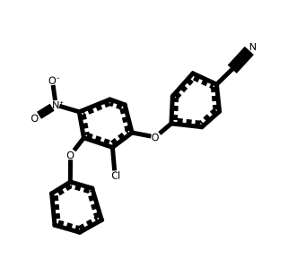 N#Cc1ccc(Oc2ccc([N+](=O)[O-])c(Oc3ccccc3)c2Cl)cc1